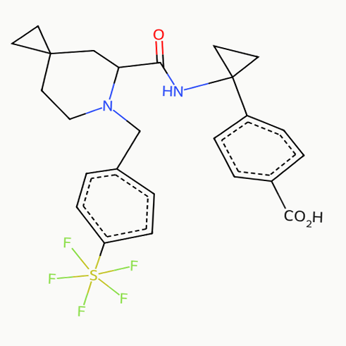 O=C(O)c1ccc(C2(NC(=O)C3CC4(CCN3Cc3ccc(S(F)(F)(F)(F)F)cc3)CC4)CC2)cc1